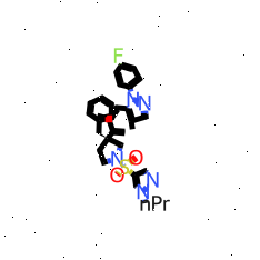 C=C(/C(C)=C\c1c(C)cnn1-c1ccc(F)cc1)[C@]1(Cc2ccccc2)CCN(S(=O)(=O)c2cnn(CCC)c2)C1